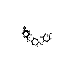 CN1CCC(O[C@H]2CC[C@H](Oc3cnc(Br)cn3)CC2)CC1